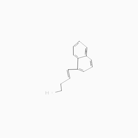 CCC/C=C/c1cccc2ccccc12